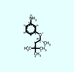 C[C@H](CC(C)(C)C)Oc1cccc(N)c1